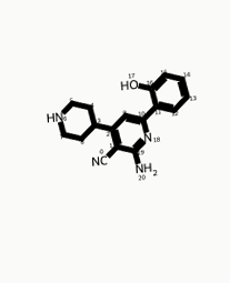 N#Cc1c(C2CCNCC2)cc(-c2ccccc2O)nc1N